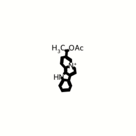 CC(=O)OC(C)c1ccc2c3[nH]c4ccccc4c3cc[n+]2c1